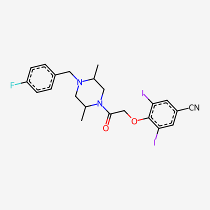 CC1CN(C(=O)COc2c(I)cc(C#N)cc2I)C(C)CN1Cc1ccc(F)cc1